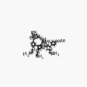 COc1ccc(C(=O)N[C@@H](CCCN)C(=O)N(C)[C@@H]2C(=O)N[C@@H](C)C(=O)N[C@H](C(=O)NCC#N)Cc3ccc(OCCN)c(c3)-c3cc2ccc3OCCN)c(C)c1